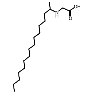 CCCCCCCCCCCCCCC(C)NCC(=O)O